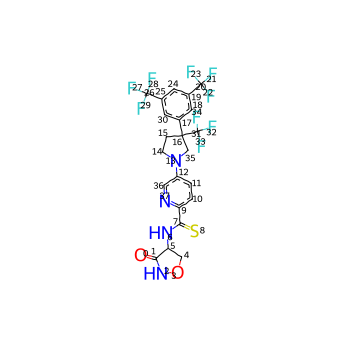 O=C1NOCC1NC(=S)c1ccc(N2CCC(c3cc(C(F)(F)F)cc(C(F)(F)F)c3)(C(F)(F)F)C2)cn1